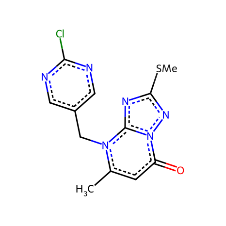 CSc1nc2n(Cc3cnc(Cl)nc3)c(C)cc(=O)n2n1